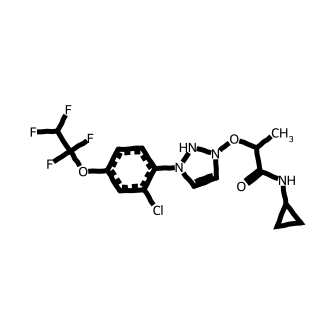 CC(ON1C=CN(c2ccc(OC(F)(F)C(F)F)cc2Cl)N1)C(=O)NC1CC1